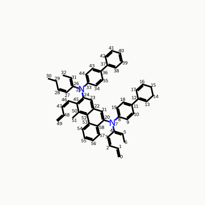 C=C/C=C\C(=C/C)N(c1ccc(C2=CCCC=C2)cc1)c1cc2cc(N(C(/C=C\CC)=C/C)c3ccc(-c4ccccc4)cc3)c(/C=C\C=C)c(C)c2c2ccccc12